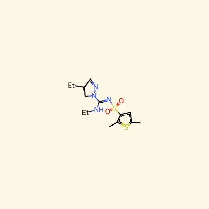 CCN/C(=N\S(=O)(=O)c1cc(C)sc1C)N1CC(CC)C=N1